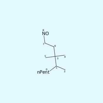 CCCCCC(C)C(C)(C)CCN=O